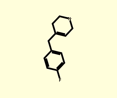 Fc1ccc(CC2=CC[N]CC2)cc1